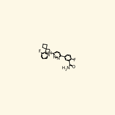 NC(=O)c1cc(-c2ccc(NCC3(c4ncccc4F)CCC3)nn2)ccc1F